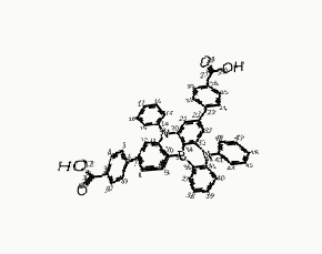 O=C(O)c1ccc(-c2ccc3c(c2)N(c2ccccc2)c2cc(-c4ccc(C(=O)O)cc4)cc4c2B3c2ccccc2N4c2ccccc2)cc1